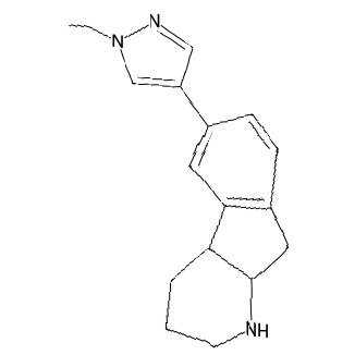 Cn1cc(-c2ccc3c(c2)C2CCCNC2C3)cn1